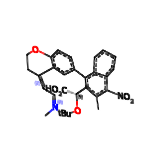 C/N=C\C=C1\CCOc2ccc(-c3c([C@H](OC(C)(C)C)C(=O)O)c(C)c([N+](=O)[O-])c4ccccc34)cc21